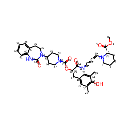 COC(=O)[C@@H]1CCCCN1C=C=C=NC(=O)[C@@H](Cc1cc(C)c(O)c(C)c1)OC(=O)N1CCC(N2CCc3ccccc3NC2=O)CC1